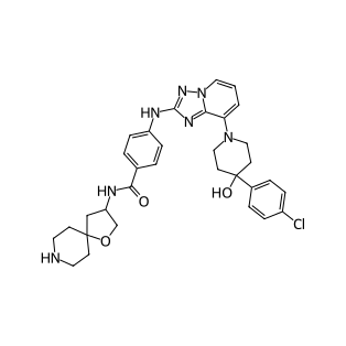 O=C(NC1COC2(CCNCC2)C1)c1ccc(Nc2nc3c(N4CCC(O)(c5ccc(Cl)cc5)CC4)cccn3n2)cc1